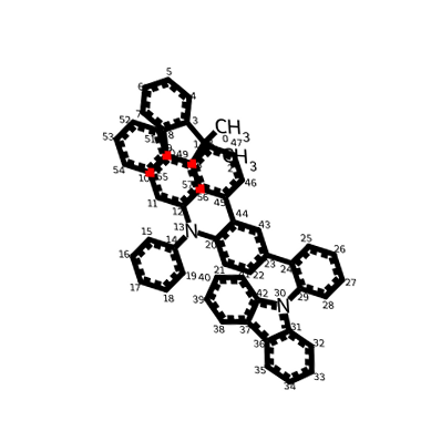 CC1(C)c2ccccc2-c2ccc(N(c3ccccc3)c3ccc(-c4ccccc4-n4c5ccccc5c5ccccc54)cc3-c3cccc(-c4ccccc4)c3)cc21